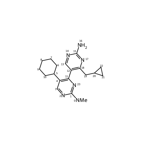 CNc1ncc(C2CCCCC2)c(-c2cnc(N)nc2CC2CC2)n1